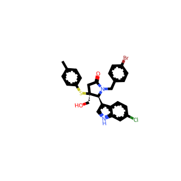 Cc1ccc(S[C@@]2(CO)CC(=O)N(Cc3ccc(Br)cc3)[C@H]2c2c[nH]c3cc(Cl)ccc23)cc1